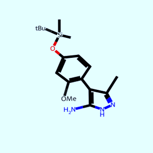 COc1cc(O[Si](C)(C)C(C)(C)C)ccc1-c1c(C)n[nH]c1N